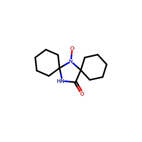 [O]N1C2(CCCCC2)NC(=O)C12CCCCC2